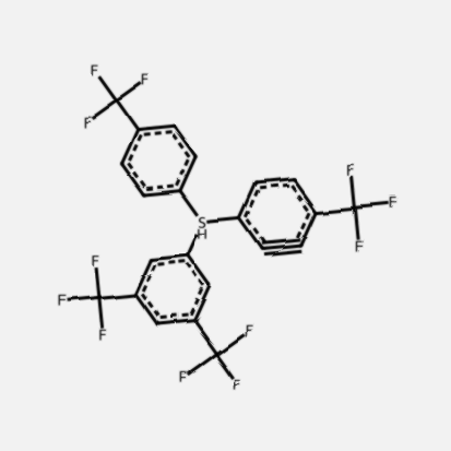 FC(F)(F)c1c#cc([SH](c2ccc(C(F)(F)F)cc2)c2cc(C(F)(F)F)cc(C(F)(F)F)c2)cc1